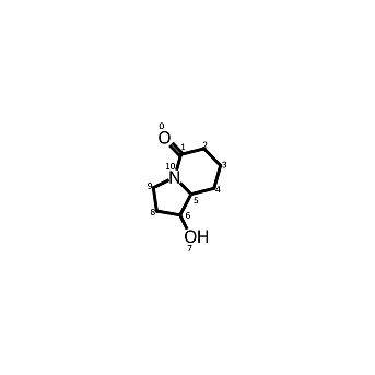 O=C1CCCC2C(O)CCN12